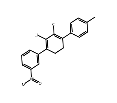 Cc1ccc(C2=C(Cl)C(Cl)=C(c3cccc([N+](=O)[O-])c3)[CH]C2)cc1